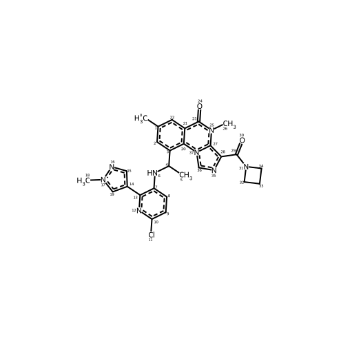 Cc1cc(C(C)Nc2ccc(Cl)nc2-c2cnn(C)c2)c2c(c1)c(=O)n(C)c1c(C(=O)N3CCC3)ncn21